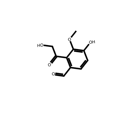 COc1c(O)ccc(C=O)c1C(=O)CO